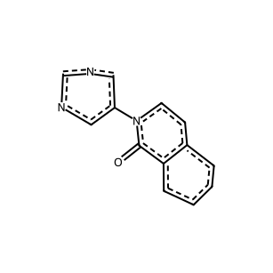 O=c1c2ccccc2ccn1-c1cncnc1